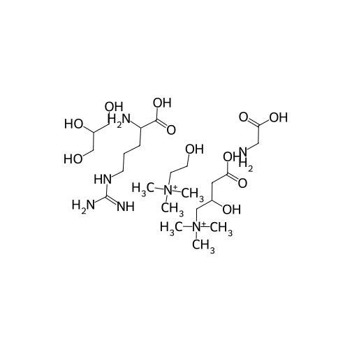 C[N+](C)(C)CC(O)CC(=O)O.C[N+](C)(C)CCO.N=C(N)NCCCC(N)C(=O)O.NCC(=O)O.OCC(O)CO